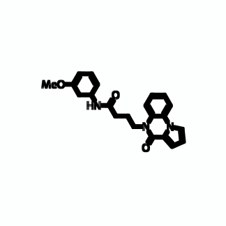 COC1=CC=CC(NC(=O)CCCn2c(=O)c3cccn3c3ccccc32)C1